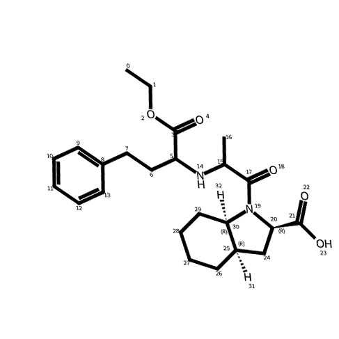 CCOC(=O)C(CCc1ccccc1)NC(C)C(=O)N1[C@@H](C(=O)O)C[C@H]2CCCC[C@H]21